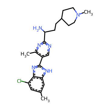 Cc1cc(Cl)c2nc(-c3cnc(C(N)CCC4CCN(C)CC4)nc3C)[nH]c2c1